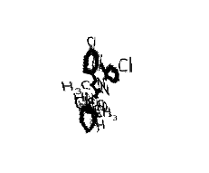 CC1C(C(=O)N[C@H]2C[C@H]3CC[C@]2(C)C3(C)C)=NN(c2ccc(Cl)cc2Cl)C1c1ccc(Cl)cc1